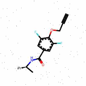 C#CCOc1c(F)cc(C(=O)N[C@@H](C)C(C)C)cc1F